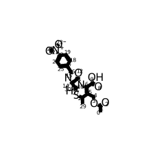 CC(=O)OCC1=C(C(=O)O)N2C(=O)[C@](C)(N=Cc3ccc([N+](=O)[O-])cc3)[C@@H]2SC1C